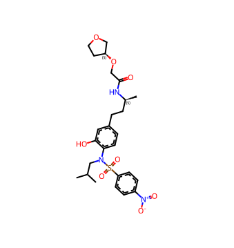 CC(C)CN(c1ccc(CC[C@H](C)NC(=O)CO[C@H]2CCOC2)cc1O)S(=O)(=O)c1ccc([N+](=O)[O-])cc1